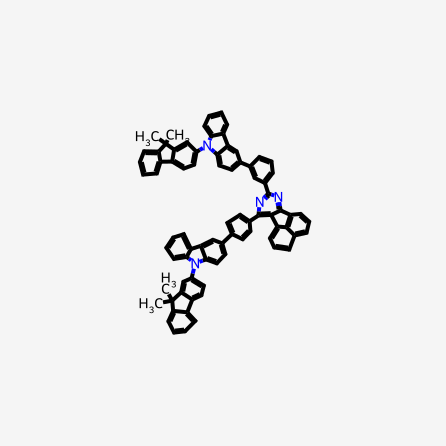 CC1(C)c2ccccc2-c2ccc(-n3c4ccccc4c4cc(-c5ccc(-c6nc(-c7cccc(-c8ccc9c(c8)c8ccccc8n9-c8ccc9c(c8)C(C)(C)c8ccccc8-9)c7)nc7c6-c6cccc8cccc-7c68)cc5)ccc43)cc21